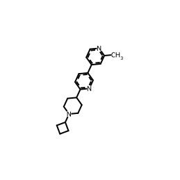 Cc1cc(-c2ccc(C3CCN(C4CCC4)CC3)nc2)ccn1